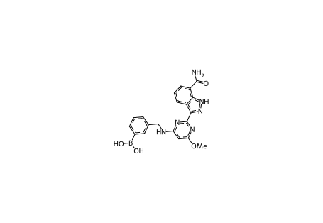 COc1cc(NCc2cccc(B(O)O)c2)nc(-c2n[nH]c3c(C(N)=O)cccc23)n1